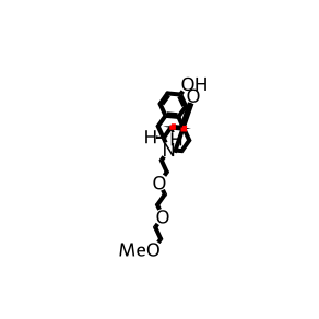 COCCOCCOCCN1CCC23CC(=O)CC[C@H]2[C@H]1Cc1ccc(O)cc13